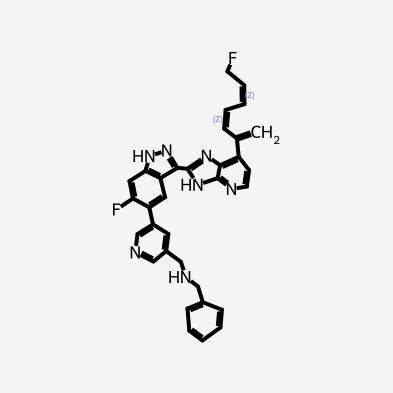 C=C(/C=C\C=C/CF)c1ccnc2[nH]c(-c3n[nH]c4cc(F)c(-c5cncc(CNCc6ccccc6)c5)cc34)nc12